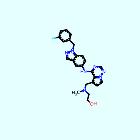 CN(CCO)Cc1ccn2ncnc(Nc3ccc4c(cnn4Cc4cccc(F)c4)c3)c12